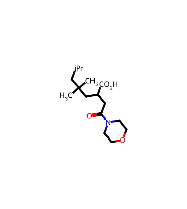 CC(C)CC(C)(C)CC(CC(=O)N1CCOCC1)C(=O)O